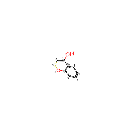 OC1=CSOc2ccccc21